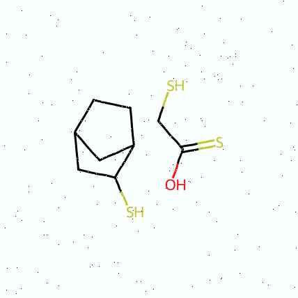 OC(=S)CS.SC1CC2CCC1C2